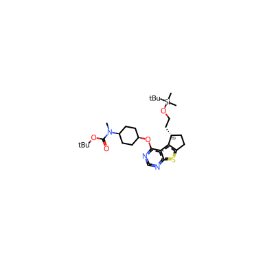 CN(C(=O)OC(C)(C)C)[C@H]1CC[C@@H](Oc2ncnc3sc4c(c23)[C@H](CCO[Si](C)(C)C(C)(C)C)CC4)CC1